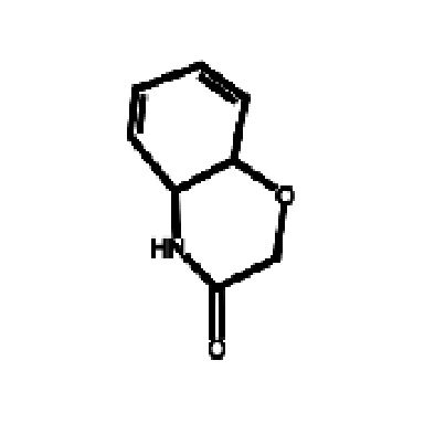 O=C1COC2C=CC=CC2N1